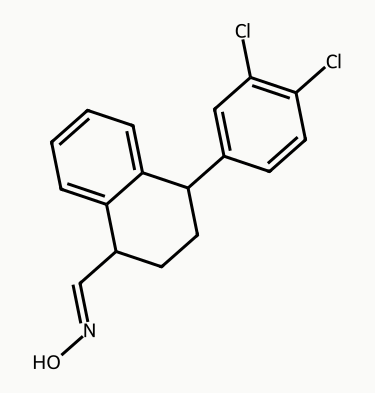 ON=CC1CCC(c2ccc(Cl)c(Cl)c2)c2ccccc21